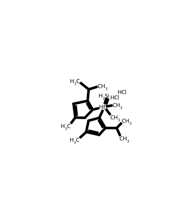 CC1=CC(C(C)C)=[C]([Hf]([CH3])([CH3])(=[SiH2])[C]2=C(C(C)C)C=C(C)C2)C1.Cl.Cl